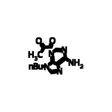 CC(=O)C=O.CCCCn1cnc2c(N)ncnc21